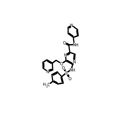 Cc1ccc(S(=O)(=O)Nc2ncc(C(=O)Nc3ccncc3)nc2OCc2cccnc2)cc1